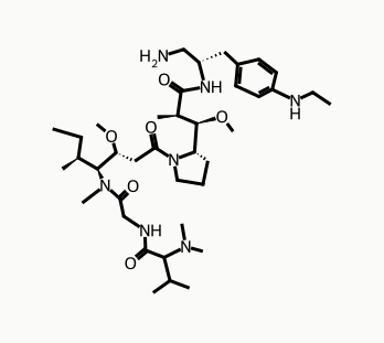 CCNc1ccc(C[C@@H](CN)NC(=O)[C@H](C)[C@@H](OC)[C@@H]2CCCN2C(=O)C[C@@H](OC)[C@H]([C@@H](C)CC)N(C)C(=O)CNC(=O)C(C(C)C)N(C)C)cc1